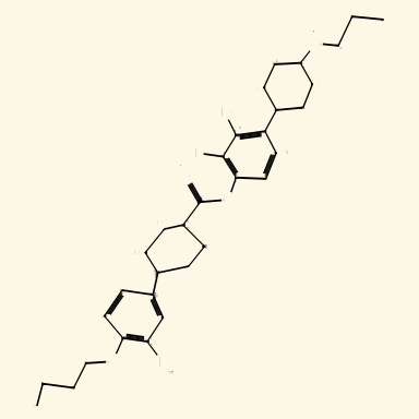 CCCCOc1ccc(C2CCC(C(=O)Oc3ccc(C4CCC(OCCC)CC4)c(F)c3F)CC2)cc1F